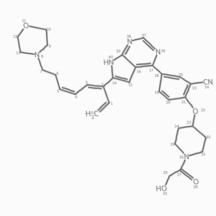 C=C/C(=C\C=C/CCN1CCOCC1)c1cc2c(-c3ccc(OC4CCN(C(=O)CO)CC4)c(C#N)c3)ncnc2[nH]1